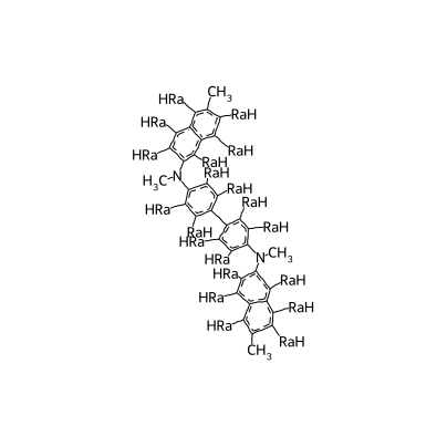 Cc1[c]([RaH])[c]([RaH])c2[c]([RaH])c(N(C)c3[c]([RaH])[c]([RaH])c(-c4[c]([RaH])[c]([RaH])c(N(C)c5[c]([RaH])[c]([RaH])c6[c]([RaH])c(C)[c]([RaH])[c]([RaH])c6[c]5[RaH])[c]([RaH])[c]4[RaH])[c]([RaH])[c]3[RaH])[c]([RaH])[c]([RaH])c2[c]1[RaH]